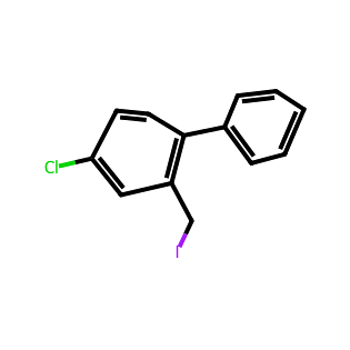 Clc1ccc(-c2ccccc2)c(CI)c1